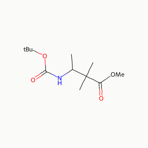 COC(=O)C(C)(C)C(C)NC(=O)OC(C)(C)C